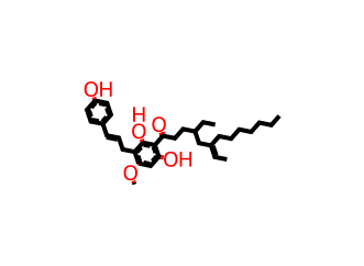 C/C=C(\CCCCCCC)CC(CC)CCC(=O)c1c(O)cc(OC)c(C/C=C/c2ccc(O)cc2)c1O